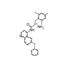 Cc1cc(C)c(C[C@H](N)C(=O)Nc2ccnc3ccc(Cc4ccccc4)cc23)c(C)c1